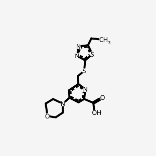 CCc1nnc(SCc2cc(N3CCOCC3)cc(C(=O)O)n2)s1